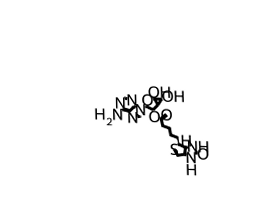 Nc1ncnc2c1ncn2[C@@H]1OC2(O)C(O)C2C1OC(=O)CCCC[C@@H]1SCC2NC(=O)N[C@@H]21